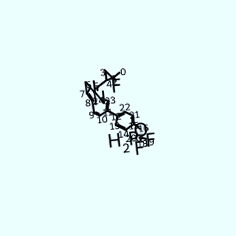 CC1(F)CC1c1ncc2ccc(-c3ccc(OC(F)(F)P)cc3)cn12